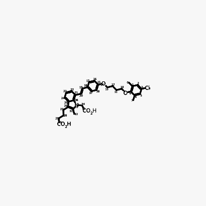 Cc1cc(Cl)cc(C)c1OCCCCOc1ccc(C=Cc2cccc3c(CCCC(=O)O)c(C)n(CC(=O)O)c23)cc1